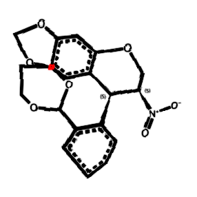 O=[N+]([O-])[C@@H]1COc2cc3c(cc2[C@@H]1c1ccccc1C1OCCCO1)OCO3